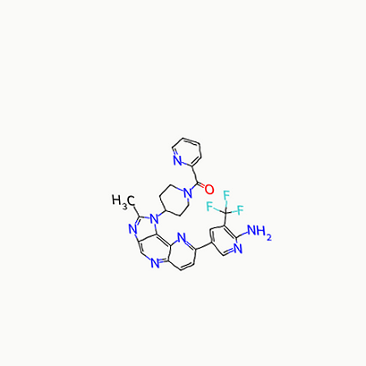 Cc1nc2cnc3ccc(-c4cnc(N)c(C(F)(F)F)c4)nc3c2n1C1CCN(C(=O)c2ccccn2)CC1